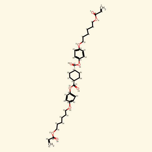 C=CC(=O)OCCCCCCOc1ccc(OC(=O)[C@H]2CC[C@H](C(=O)Oc3ccc(OCCCCCCOC(=O)C=C)cc3)CC2)cc1